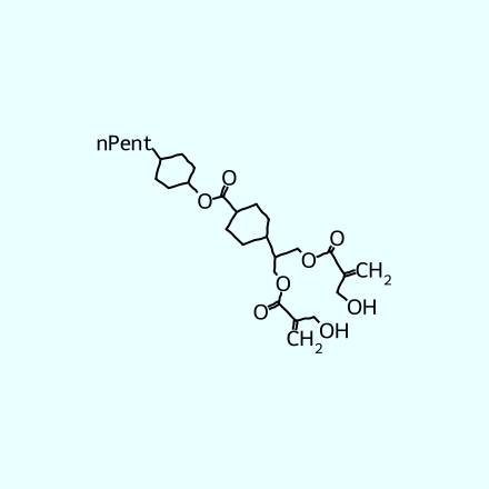 C=C(CO)C(=O)OCC(COC(=O)C(=C)CO)C1CCC(C(=O)OC2CCC(CCCCC)CC2)CC1